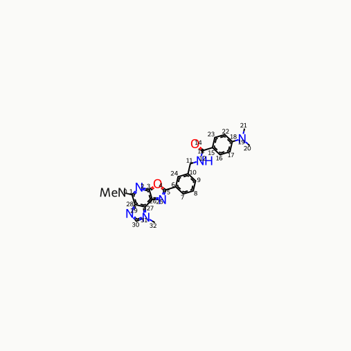 CNc1nc2oc(-c3cccc(CNC(=O)c4ccc(N(C)C)cc4)c3)nc2c2c1ncn2C